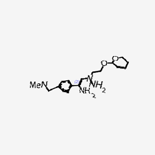 CNCc1ccc(/C(N)=C/N(N)CCOC2CCCCO2)cc1